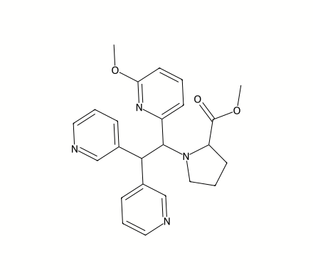 COC(=O)C1CCCN1C(c1cccc(OC)n1)C(c1cccnc1)c1cccnc1